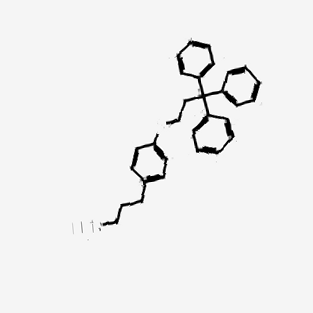 NCCCc1ccc(SCCC(c2ccccc2)(c2ccccc2)c2ccccc2)cc1